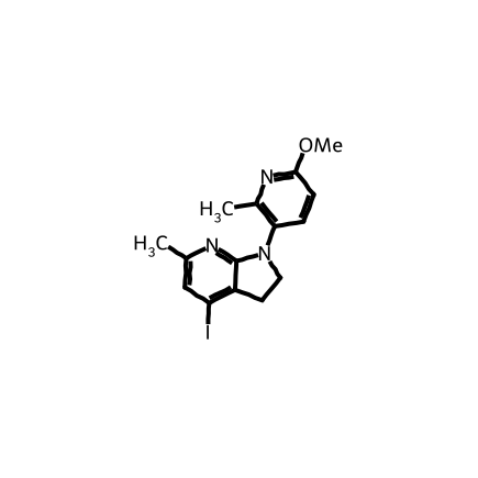 COc1ccc(N2CCc3c(I)cc(C)nc32)c(C)n1